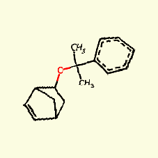 CC(C)(OC1CC2C=CC1C2)c1ccccc1